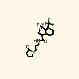 C=C(C(=O)NCCCN1CCCC1=O)c1cc[c]c(C(F)(F)F)c1C(F)(F)F